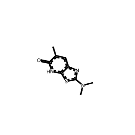 Cc1cc2nc(N(C)C)sc2[nH]c1=O